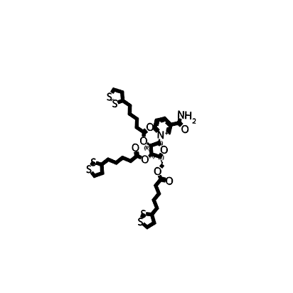 NC(=O)c1ccc[n+]([C@@H]2O[C@H](COC(=O)CCCCC3CCSS3)[C@@H](OC(=O)CCCCC3CCSS3)[C@H]2OC(=O)CCCCC2CCSS2)c1